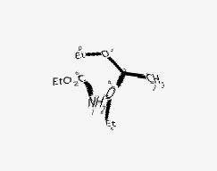 CCOC(C)OCC.CCOC(N)=O